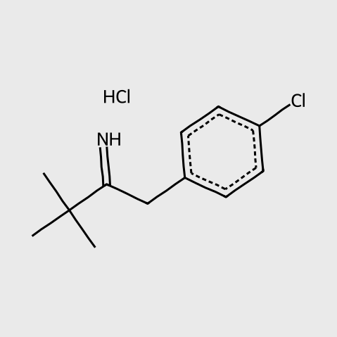 CC(C)(C)C(=N)Cc1ccc(Cl)cc1.Cl